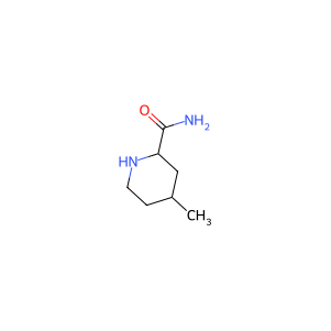 CC1CCNC(C(N)=O)C1